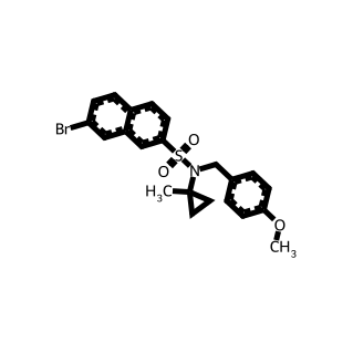 COc1ccc(CN(C2(C)CC2)S(=O)(=O)c2ccc3ccc(Br)cc3c2)cc1